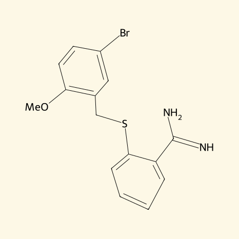 COc1ccc(Br)cc1CSc1ccccc1C(=N)N